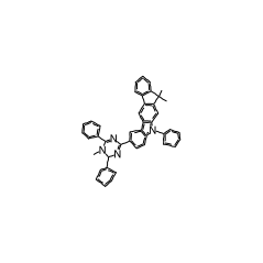 CN1C(c2ccccc2)=NC(c2ccc3c(c2)c2cc4c(cc2n3-c2ccccc2)C(C)(C)c2ccccc2-4)=NC1c1ccccc1